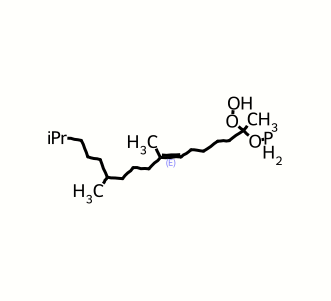 C/C(=C\CCCCC(C)(OO)OP)CCCC(C)CCCC(C)C